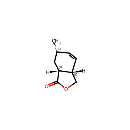 C[C@@H]1C=C[C@@H]2COC(=O)[C@@H]2C1